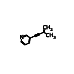 C=C(C)C#Cc1cccnc1